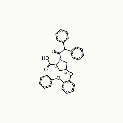 O=C(O)[C@@H]1C[C@H](Oc2ccccc2Oc2ccccc2)CN1C(=O)C(c1ccccc1)c1ccccc1